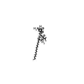 CCCCCCCCCCC/C=C/CCCCC(=O)OCC[C@@H](COC(=O)[C@@H](N)C(C)C)Cn1cnc2c(=O)[nH]c(N)nc21